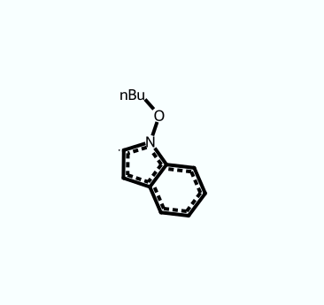 CCCCOn1[c]cc2ccccc21